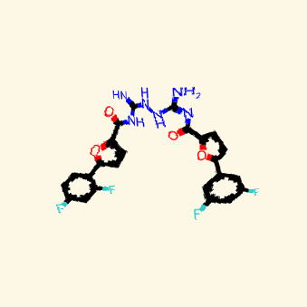 N=C(NNC(N)=NC(=O)c1ccc(-c2cc(F)cc(F)c2)o1)NC(=O)c1ccc(-c2ccc(F)cc2F)o1